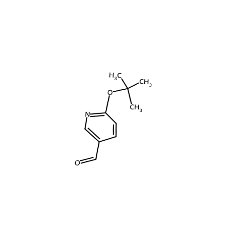 CC(C)(C)Oc1ccc(C=O)cn1